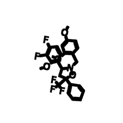 COc1ccc(CN2OC(c3ccccc3)(C(F)(F)F)CC2c2ccc(F)c(F)c2OC)c(OC)c1